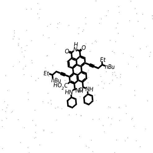 CCCCC(CC)CC#Cc1cc2c3c(ccc4c5c(C#CCC(CC)CCCC)c(C(=O)O)c(C(=N)NC6CCCCC6)c6c(C(=O)NC7CCCCC7)ccc(c1c34)c65)C(=O)NC2=O